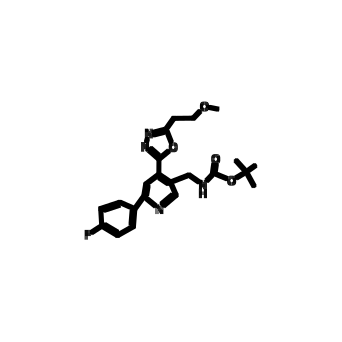 COCCc1nnc(-c2cc(-c3ccc(F)cc3)ncc2CNC(=O)OC(C)(C)C)o1